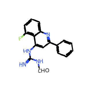 N=C(NC=O)Nc1cc(-c2ccccc2)nc2cccc(F)c12